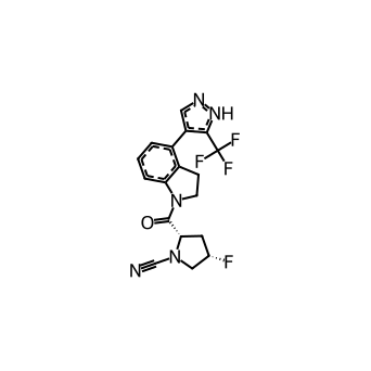 N#CN1C[C@@H](F)C[C@H]1C(=O)N1CCc2c(-c3cn[nH]c3C(F)(F)F)cccc21